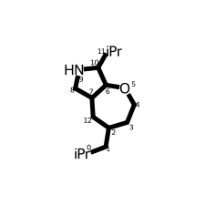 CC(C)CC1CCOC2C(CNC2C(C)C)C1